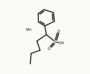 CCCCC(c1ccccc1)S(=O)(=O)O.[Mn]